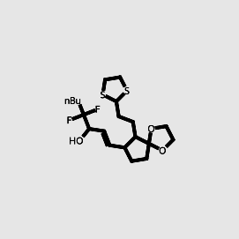 CCCCC(F)(F)C(O)C=CC1CCC2(OCCO2)C1CCC1SCCS1